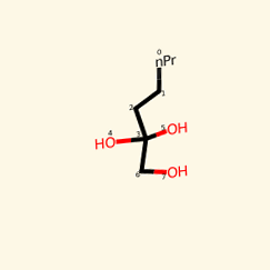 CCCCCC(O)(O)CO